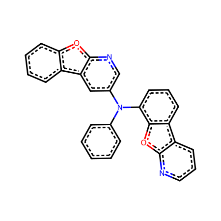 c1ccc(N(c2cnc3oc4ccccc4c3c2)c2cccc3c2oc2ncccc23)cc1